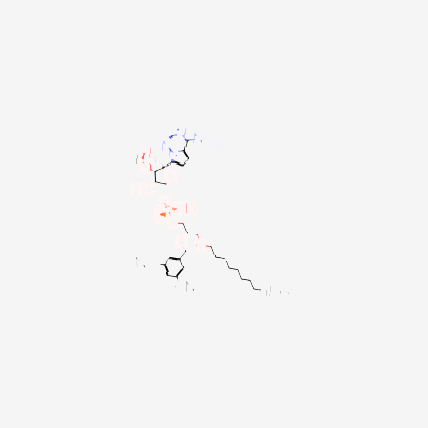 CCCCCCCCCCCCCCCCCCOC[C@H](COP(=O)(O)OC[C@H]1O[C@@](C)(c2ccc3c(N)ncnn23)[C@H](O)[C@@H]1O)OCc1cc(C#N)cc(C#N)c1